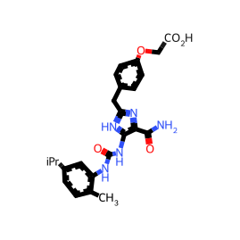 Cc1ccc(C(C)C)cc1NC(=O)Nc1[nH]c(Cc2ccc(OCC(=O)O)cc2)nc1C(N)=O